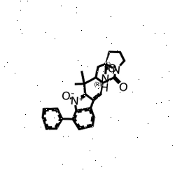 CC1(C)C2=[N+]([O-])c3c(cccc3-c3ccccc3)C2=C[C@@]23NC(=O)[C@]4(CCCN4C2=O)CC13